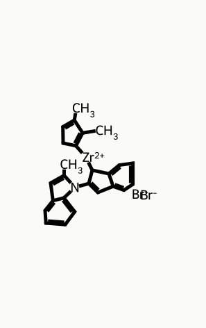 CC1=CC[C]([Zr+2][CH]2C(n3c(C)cc4ccccc43)=Cc3ccccc32)=C1C.[Br-].[Br-]